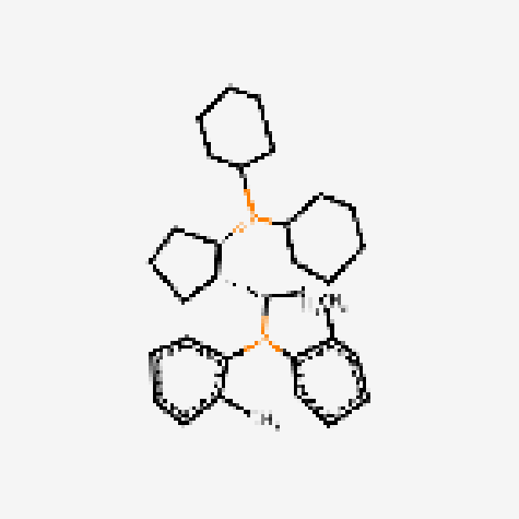 Cc1ccccc1P(c1ccccc1C)C(C)[C@@H]1CCC[C@@H]1P(C1CCCCC1)C1CCCCC1